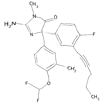 CCCC#Cc1cc([C@]2(c3ccc(OC(F)F)c(C)c3)N=C(N)N(C)C2=O)ccc1F